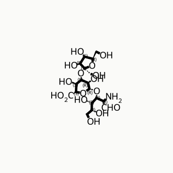 N[C@@H](C=O)[C@@H](O[C@@H]1O[C@H](C(=O)O)[C@@H](O)[C@H](O[C@]2(CO)O[C@H](CO)[C@@H](O)[C@@H]2O)[C@H]1O)[C@@H](O)[C@H](O)CO